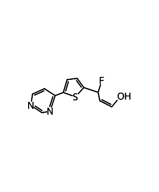 O/C=C\C(F)c1ccc(-c2ccncn2)s1